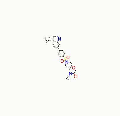 Cc1ccnc2cc(-c3ccc(S(=O)(=O)N4CCC5(CC4)CN(C4CC4)C(=O)CO5)cc3)ccc12